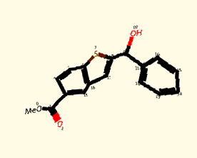 COC(=O)c1ccc2sc(C(O)c3ccccc3)cc2c1